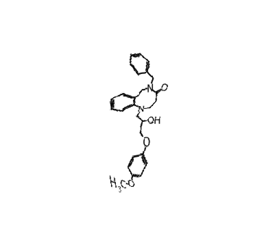 COc1ccc(OCC(O)CN2CCC(=O)N(Cc3ccccc3)Cc3ccccc32)cc1